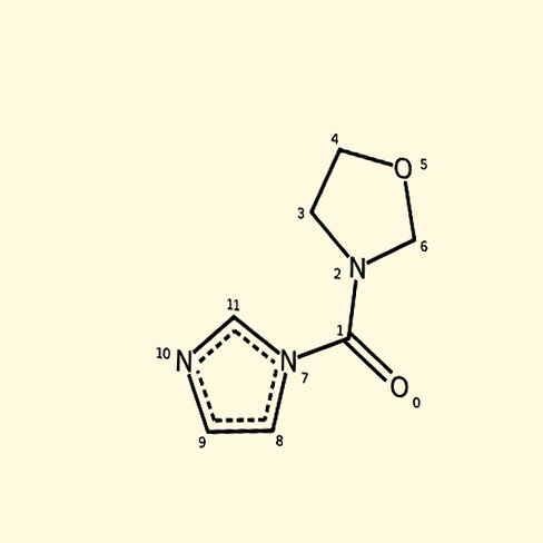 O=C(N1CCOC1)n1ccnc1